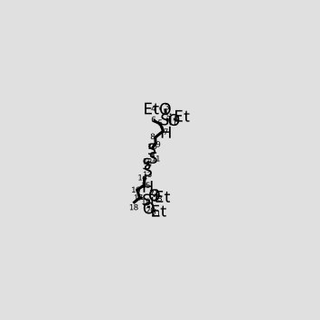 CCO[SiH](OCC)C(C)CCCSSSSCCCC(C)[SiH](OCC)OCC